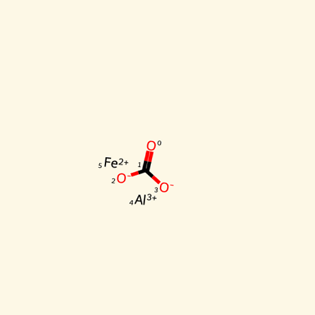 O=C([O-])[O-].[Al+3].[Fe+2]